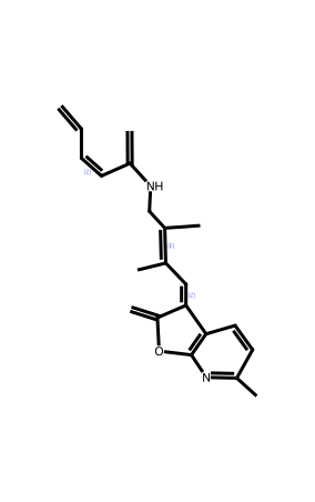 C=C/C=C\C(=C)NC/C(C)=C(C)/C=c1\c(=C)oc2nc(C)ccc12